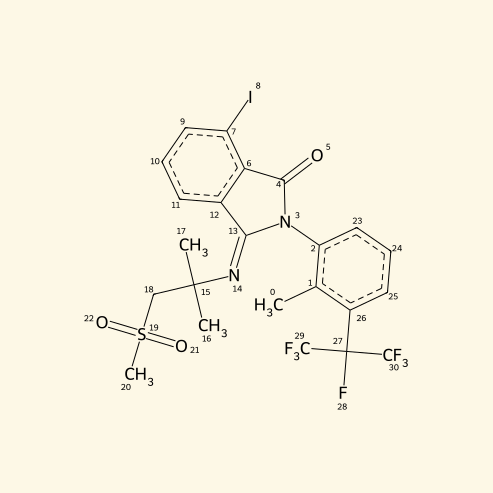 Cc1c(N2C(=O)c3c(I)cccc3C2=NC(C)(C)CS(C)(=O)=O)cccc1C(F)(C(F)(F)F)C(F)(F)F